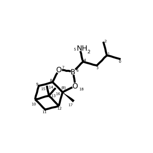 CC(C)CC(N)B1OC2CC3CC(C3(C)C)[C@@]2(C)O1